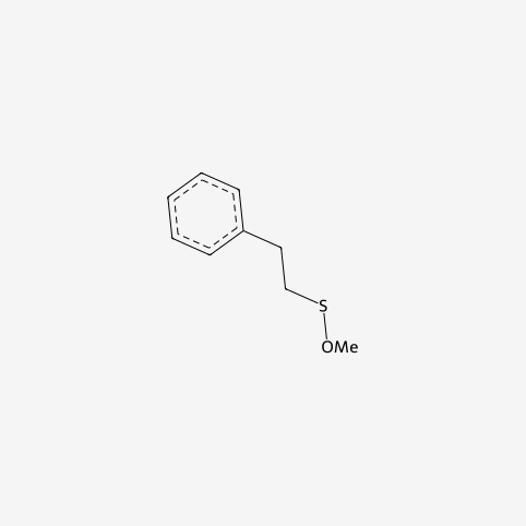 COSCCc1ccccc1